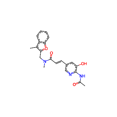 CC(=O)Nc1ncc(C=CC(=O)N(C)Cc2oc3ccccc3c2C)cc1O